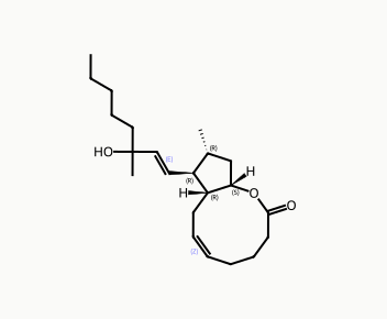 CCCCCC(C)(O)/C=C/[C@@H]1[C@H]2C/C=C\CCCC(=O)O[C@H]2C[C@H]1C